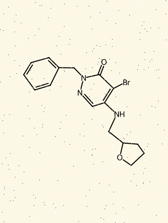 O=c1c(Br)c(NCC2CCCO2)cnn1Cc1ccccc1